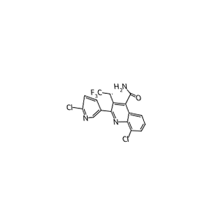 NC(=O)c1c([CH]C(F)(F)F)c(-c2ccc(Cl)nc2)nc2c(Cl)cccc12